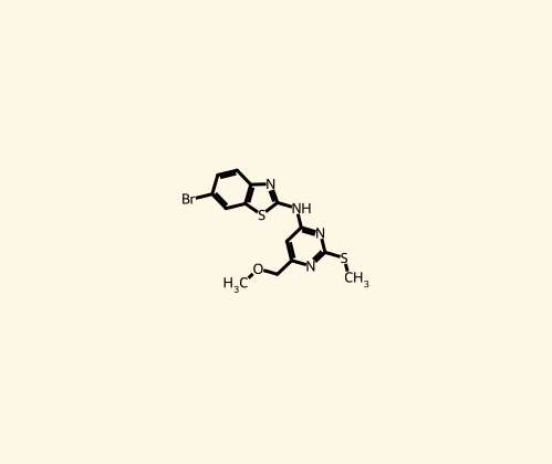 COCc1cc(Nc2nc3ccc(Br)cc3s2)nc(SC)n1